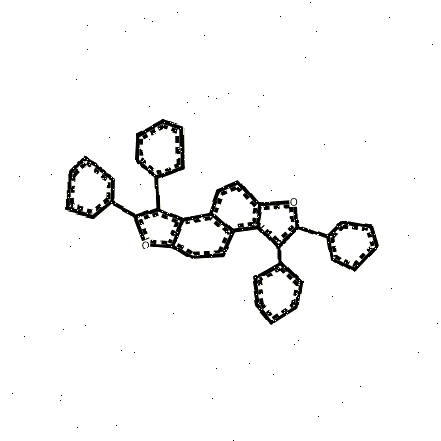 c1ccc(-c2oc3ccc4c(ccc5oc(-c6ccccc6)c(-c6ccccc6)c54)c3c2-c2ccccc2)cc1